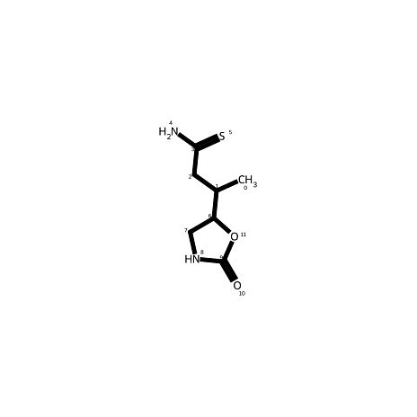 CC(CC(N)=S)C1CNC(=O)O1